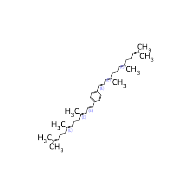 CC(C)=CCC/C(C)=C/CC/C(C)=C/C=C/c1ccc(/C=C/C=C(\C)CC/C=C(\C)CCC=C(C)C)cc1